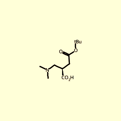 CN(C)C[C@@H](CC(=O)OC(C)(C)C)C(=O)O